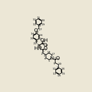 O=C(CC1CCN(C(=O)CCc2ccccc2)CC1)N[C@H](Cc1ccc(OCc2ccccc2)cc1)C(=O)O